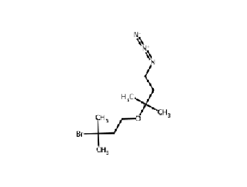 CC(C)(Br)CCOC(C)(C)CCN=[N+]=[N-]